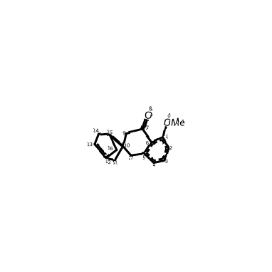 COc1cccc2c1C(=O)CC1(CC3=CCC1C3)C2